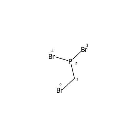 BrCP(Br)Br